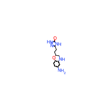 Nc1ccc2c(c1)NCC(CCc1n[nH]c(=O)[nH]1)O2